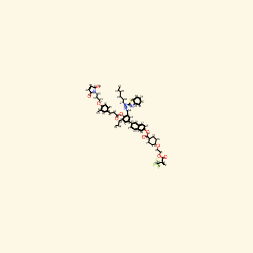 C=C(C(=O)OCCOC1CCC(C(=O)Oc2ccc3cc(-c4cc(/C=N/N(CCCCCC)c5nc6ccccc6s5)c(OC(=O)CCc5ccc(OCCCN6C(=O)C=CC6=O)c(C)c5)c(CCC)c4)ccc3c2)CC1)C(F)(F)F